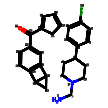 NCN1CCC(c2ccc(F)cc2)CC1.O=C(C1=CC=CC1)c1ccc2c(c1)C1CC21